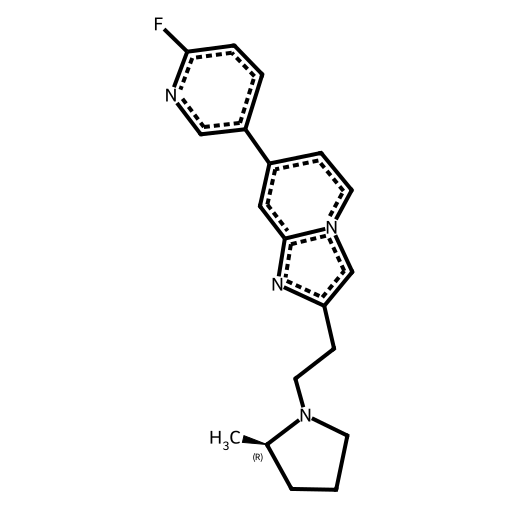 C[C@@H]1CCCN1CCc1cn2ccc(-c3ccc(F)nc3)cc2n1